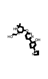 CC1(C)CC(Oc2ccc(-c3ccc(-n4cccn4)cc3O)nn2)C[C@@H](CCO)N1